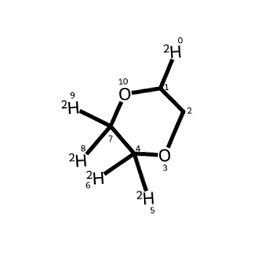 [2H]C1COC([2H])([2H])C([2H])([2H])O1